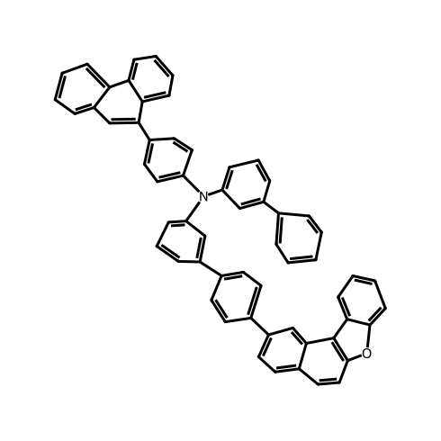 c1ccc(-c2cccc(N(c3ccc(-c4cc5ccccc5c5ccccc45)cc3)c3cccc(-c4ccc(-c5ccc6ccc7oc8ccccc8c7c6c5)cc4)c3)c2)cc1